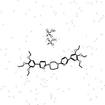 CCOc1cc(-c2ccc(N3CCCN(c4ccc(-c5cc(OCC)c(OCC)c(OCC)c5)cn4)CC3)nc2)cc(OCC)c1OCC.CS(=O)(=O)O.CS(=O)(=O)O